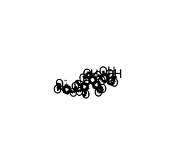 COc1cc([C@@H]2c3cc4c(cc3[C@@H](OC3OCC5(CCOC(C)O5)C(O)C3O)[C@H]3COC(=O)[C@H]23)OCO4)cc(OC)c1OC(=O)Oc1ccc([N+](=O)[O-])cc1